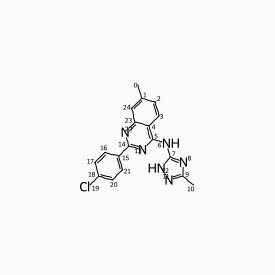 Cc1ccc2c(Nc3nc(C)n[nH]3)nc(-c3ccc(Cl)cc3)nc2c1